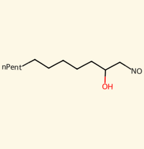 CCCCCCCCCCC(O)CN=O